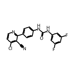 N#Cc1c(Cl)ccnc1-c1ccc(NC(=O)Nc2cc(F)cc(F)c2)cc1